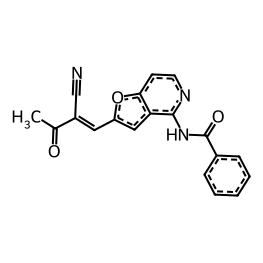 CC(=O)/C(C#N)=C/c1cc2c(NC(=O)c3ccccc3)nccc2o1